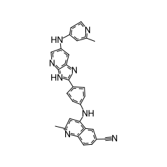 Cc1cc(Nc2cnc3[nH]c(-c4ccc(Nc5cc(C)nc6ccc(C#N)cc56)cc4)nc3c2)ccn1